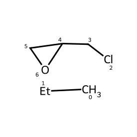 CCC.ClCC1CO1